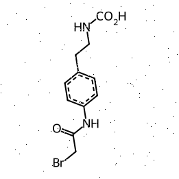 O=C(O)NCCc1ccc(NC(=O)CBr)cc1